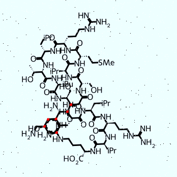 CC[C@H](C)[C@H](NC(=O)[C@@H](NC(=O)[C@H](CC(C)C)NC(=O)[C@H](CCCNC(=N)N)NC(=O)[C@H](CCSC)NC(=O)[C@@H](NC(=O)[C@H](CO)NC(=O)[C@H](C)NC(=O)[C@@H](N)CCCCN)C(C)C)[C@@H](C)O)C(=O)N[C@@H](CO)C(=O)N[C@@H](Cc1ccc(O)cc1)C(=O)N[C@@H](CC(C)C)C(=O)N[C@@H](CCCNC(=N)N)C(=O)N[C@H](C(=O)N[C@@H](CCCNC(=N)N)C(=O)O)C(C)C